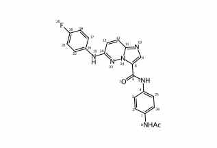 CC(=O)Nc1ccc(NC(=O)c2cnc3ccc(Nc4ccc(F)cc4)nn23)cc1